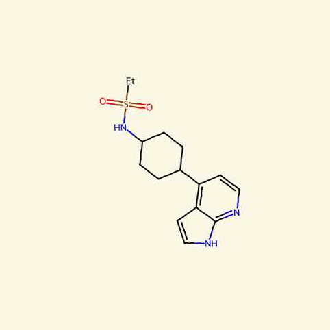 CCS(=O)(=O)NC1CCC(c2ccnc3[nH]ccc23)CC1